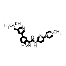 CN(C)Cc1cncc(-c2ccc3[nH]nc(C(=O)Nc4ccc(N5CCN(C)CC5)nc4)c3c2)c1